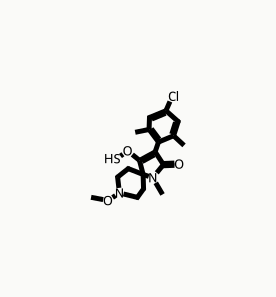 CON1CCC2(CC1)C(OS)=C(c1c(C)cc(Cl)cc1C)C(=O)N2C